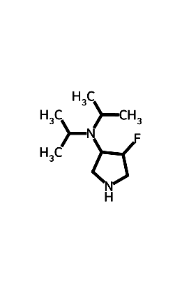 CC(C)N(C(C)C)C1CNCC1F